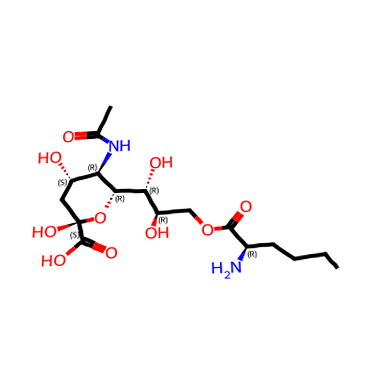 CCCC[C@@H](N)C(=O)OC[C@@H](O)[C@@H](O)[C@@H]1O[C@](O)(C(=O)O)C[C@H](O)[C@H]1NC(C)=O